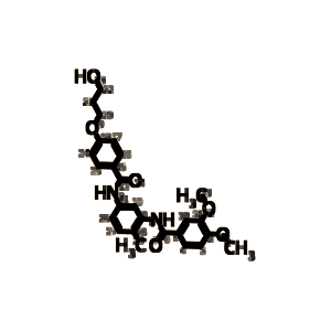 COc1ccc(C(=O)Nc2cc(NC(=O)c3ccc(OCCCO)cc3)ccc2C)cc1OC